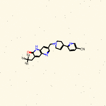 [2H]C([2H])([2H])Cc1cc2ncc(CN3CC=C(c4ccc(C#N)cn4)CC3)cc2[nH]c1=O